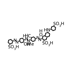 COc1cc(N=Nc2cccc(S(=O)(=O)O)c2)ccc1NNc1ccc(N=Nc2c(S(=O)(=O)O)cc3ccc(Nc4cccc(S(=O)(=O)O)c4)cc3c2O)cc1C